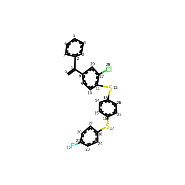 C=C(c1ccccc1)c1ccc(Sc2ccc(Sc3ccc(F)cc3)cc2)c(Cl)c1